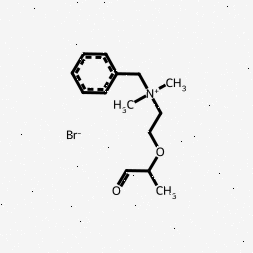 CC(C=O)OCC[N+](C)(C)Cc1ccccc1.[Br-]